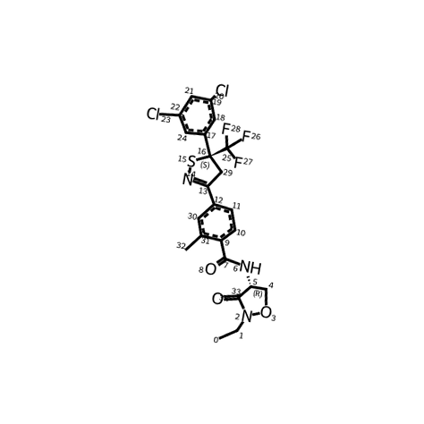 CCN1OC[C@@H](NC(=O)c2ccc(C3=NS[C@@](c4cc(Cl)cc(Cl)c4)(C(F)(F)F)C3)cc2C)C1=O